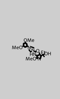 CCC(C)(O)c1cnc(OC)c(NC(=O)N2CCN(c3cc(OC)cc(OC)c3)CC2)c1C